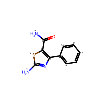 NC(=O)c1sc(N)nc1-c1ccccc1